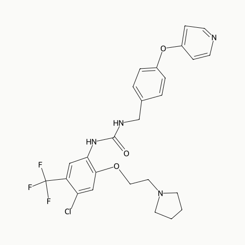 O=C(NCc1ccc(Oc2ccncc2)cc1)Nc1cc(C(F)(F)F)c(Cl)cc1OCCN1CCCC1